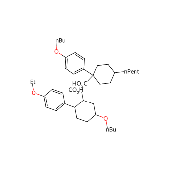 CCCCCC1CCC(C(=O)O)(c2ccc(OCCCC)cc2)CC1.CCCCOC1CCC(c2ccc(OCC)cc2)C(C(=O)O)C1